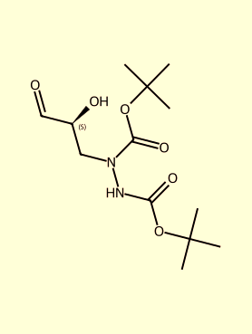 CC(C)(C)OC(=O)NN(C[C@H](O)C=O)C(=O)OC(C)(C)C